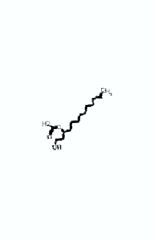 CCCCCCCCCCC(CCO)OC(=O)O